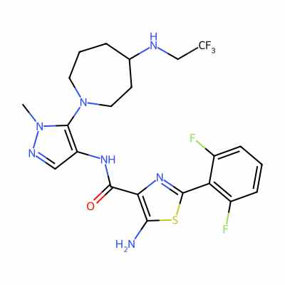 Cn1ncc(NC(=O)c2nc(-c3c(F)cccc3F)sc2N)c1N1CCCC(NCC(F)(F)F)CC1